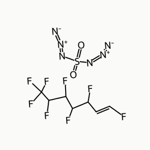 FC=CC(F)C(F)C(F)C(F)C(F)(F)F.[N-]=[N+]=NS(=O)(=O)N=[N+]=[N-]